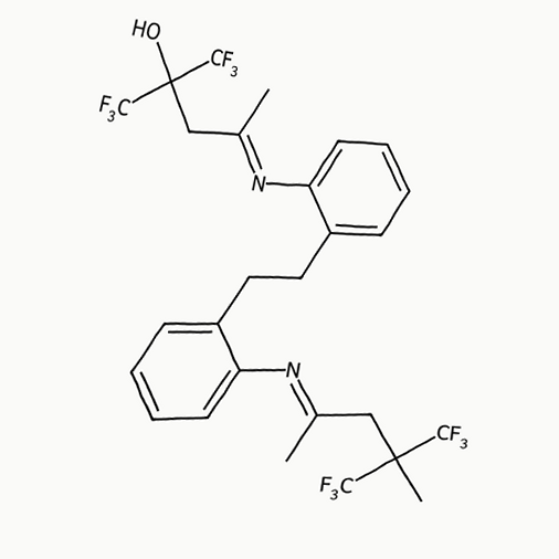 C/C(CC(C)(C(F)(F)F)C(F)(F)F)=N\c1ccccc1CCc1ccccc1/N=C(\C)CC(O)(C(F)(F)F)C(F)(F)F